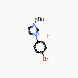 CCCCn1cc[n+](-c2ccc(Br)cc2)c1.[I-]